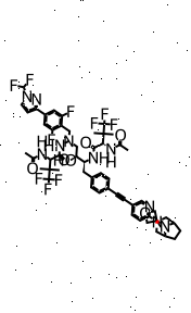 CC(=O)NC(C(=O)NN(Cc1c(F)cc(-c2ccn(C(F)F)n2)cc1F)C[C@H](O)[C@H](Cc1ccc(C#Cc2ccc(N3CC4CCC(C3)N4C3COC3)nc2)cc1)NC(=O)[C@@H](NC(C)=O)C(C)(C)C(F)(F)F)C(C)(C)C(F)(F)F